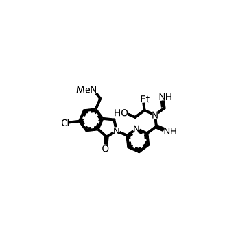 CCC(CO)N(C=N)C(=N)c1cccc(N2Cc3c(CNC)cc(Cl)cc3C2=O)n1